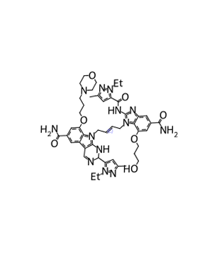 CCn1nc(C)cc1C(=O)Nc1nc2cc(C(N)=O)cc(OCCCO)c2n1C/C=C/Cn1c2c(c3cc(C(N)=O)cc(OCCCN4CCOCC4)c31)C=NC(c1cc(C)nn1CC)N2